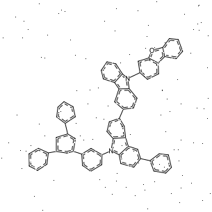 c1ccc(-c2cc(-c3ccccc3)cc(-c3cccc(-n4c5ccc(-c6ccccc6)cc5c5cc(-c6ccc7c(c6)c6ccccc6n7-c6ccc7c(c6)oc6ccccc67)ccc54)c3)c2)cc1